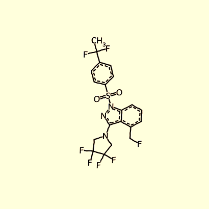 CC(F)(F)c1ccc(S(=O)(=O)n2nc(N3CC(F)(F)C(F)(F)C3)c3c(CF)cccc32)cc1